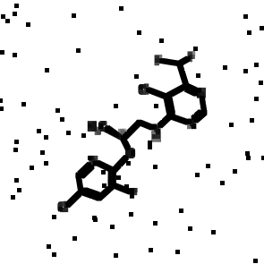 C[C@@H](CNc1ncnc(C(F)F)c1Cl)Oc1ncc(Cl)cc1F